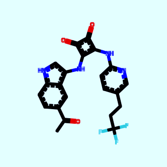 CC(=O)c1ccc2[nH]cc(Nc3c(Nc4ccc(CCC(F)(F)F)cn4)c(=O)c3=O)c2c1